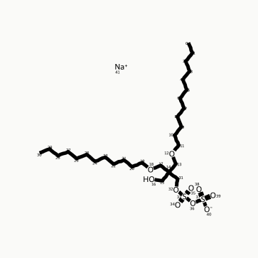 CCCCCCCCCCCCOCC(CO)(COCCCCCCCCCCCC)COS(=O)(=O)OS(=O)(=O)[O-].[Na+]